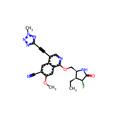 CC[C@@H]1[C@H](F)C(=O)N[C@@H]1COc1ncc(C#Cc2nnn(C)n2)c2cc(C#N)c(OC)cc12